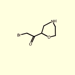 O=C(CBr)C1CNCCO1